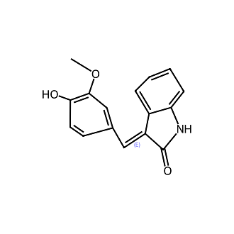 COc1cc(/C=C2/C(=O)Nc3ccccc32)ccc1O